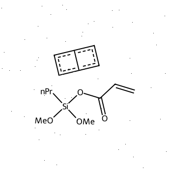 C=CC(=O)O[Si](CCC)(OC)OC.c1cc2ccc1-2